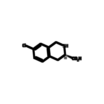 O=C(O)[C@@H]1Cc2ccc(Cl)cc2CN1